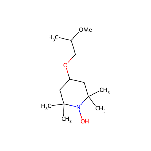 COC(C)COC1CC(C)(C)N(O)C(C)(C)C1